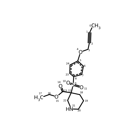 CC#CCOc1ccc(S(=O)(=O)C2(C(=O)OCC)CCCNC2)cc1